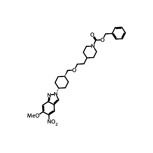 COc1cc2nn([C@H]3CC[C@H](COCCC4CCN(C(=O)OCc5ccccc5)CC4)CC3)cc2cc1[N+](=O)[O-]